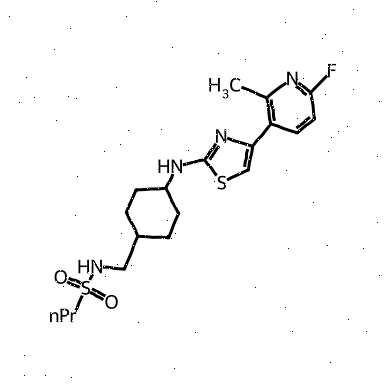 CCCS(=O)(=O)NCC1CCC(Nc2nc(-c3ccc(F)nc3C)cs2)CC1